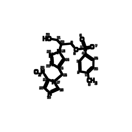 Cc1ccc(S(=O)(=O)OCC(CO)n2cc(Cn3cncc3[N+](=O)[O-])nn2)cc1